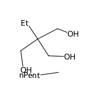 CCC(CO)(CO)CO.CCCCCC